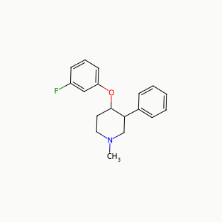 CN1CCC(Oc2cccc(F)c2)C(c2ccccc2)C1